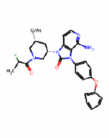 CO[C@@H]1C[C@H](n2c(=O)n(-c3ccc(Oc4ccccc4)cc3)c3c(N)nccc32)CN(C(=O)C(C)F)C1